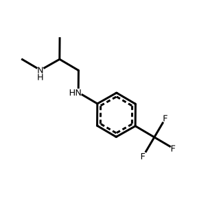 CNC(C)CNc1ccc(C(F)(F)F)cc1